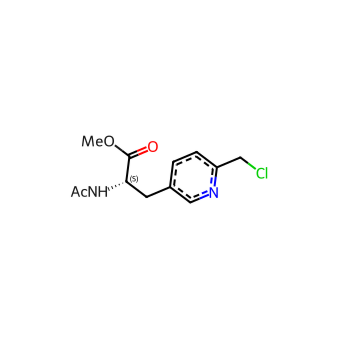 COC(=O)[C@H](Cc1ccc(CCl)nc1)NC(C)=O